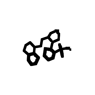 NS(=O)(=O)c1ccccc1N1CCNCC1CCC1CCCc2ccccc21